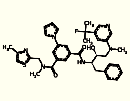 Cc1csc(CN(C)C(=O)c2cc(C(=O)N[C@@H](Cc3ccccc3)[C@H](O)CN(C)c3cncc(C(C)(C)F)c3)cc(-n3cccc3)c2)n1